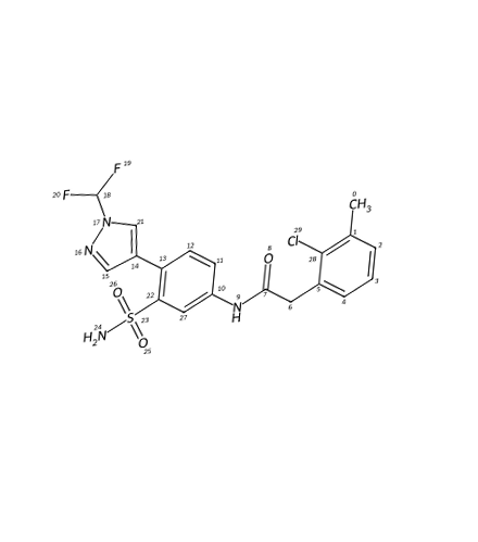 Cc1cccc(CC(=O)Nc2ccc(-c3cnn(C(F)F)c3)c(S(N)(=O)=O)c2)c1Cl